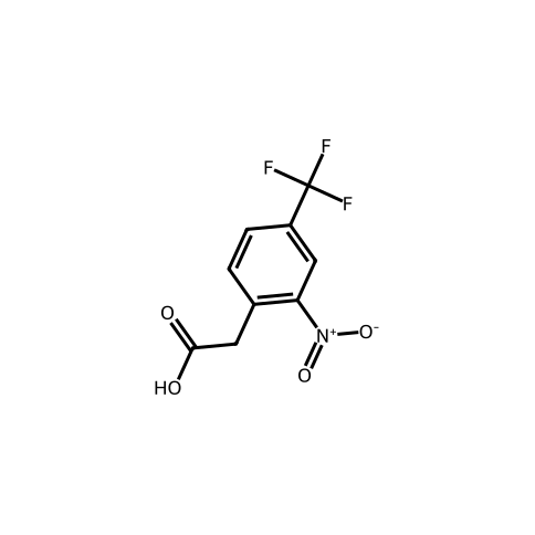 O=C(O)Cc1ccc(C(F)(F)F)cc1[N+](=O)[O-]